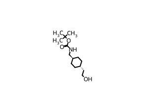 CC(C)(C)OC(=O)NC[C@H]1CC[C@H](CCO)CC1